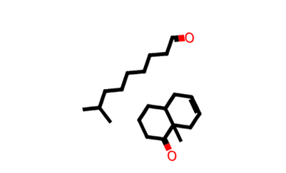 CC(C)CCCCCCC=O.CC12CC=CCC1CCCC2=O